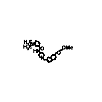 COCCOCc1ccc2ccc(CN3CCC(NC(=O)c4cccc(N(C)C)c4)CC3)cc2c1